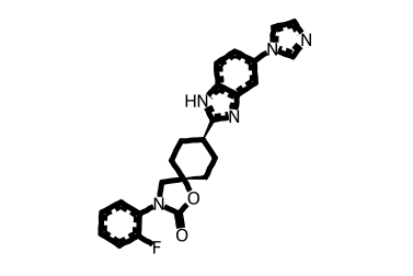 O=C1O[C@]2(CC[C@H](c3nc4cc(-n5ccnc5)ccc4[nH]3)CC2)CN1c1ccccc1F